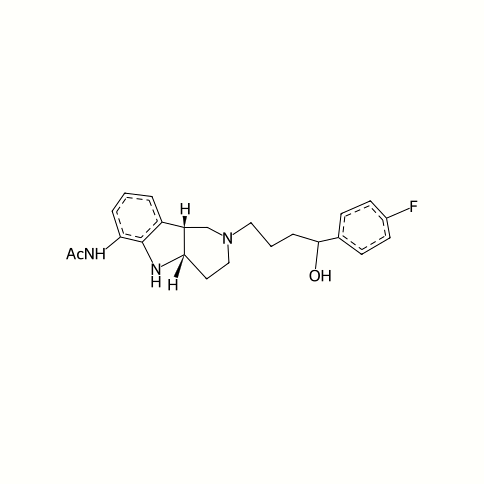 CC(=O)Nc1cccc2c1N[C@H]1CCN(CCCC(O)c3ccc(F)cc3)C[C@@H]21